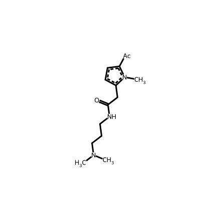 CC(=O)c1ccc(CC(=O)NCCCN(C)C)n1C